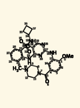 COc1ccc(C(=O)N2CCN(C)CC2)cc1Nc1ncc(Cl)c(Nc2ccccc2S(=O)(=O)NC2CCC2)n1